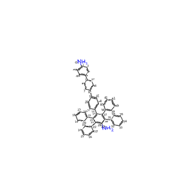 Nc1ccc(-c2ccc(-c3ccc(-c4c(-c5ccccc5)c(-c5ccccc5)c(N)c(-c5ccccc5)c4-c4ccccc4)cc3)cc2)cc1